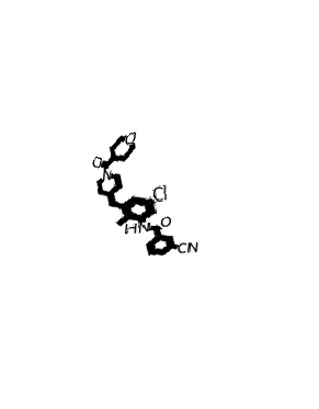 Cc1c(C=C2CCN(C(=O)C3CCOCC3)CC2)cc(Cl)cc1NC(=O)c1cccc(C#N)c1